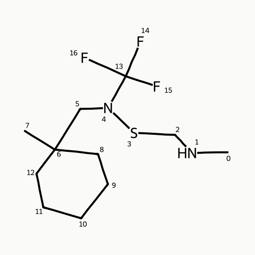 CNCSN(CC1(C)CCCCC1)C(F)(F)F